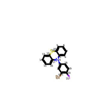 Brc1cc(N2c3ccccc3Sc3ccccc32)ccc1I